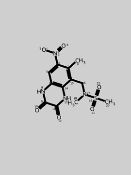 Cc1c([N+](=O)[O-])cc2[nH]c(=O)c(=O)[nH]c2c1CN(C)S(C)(=O)=O